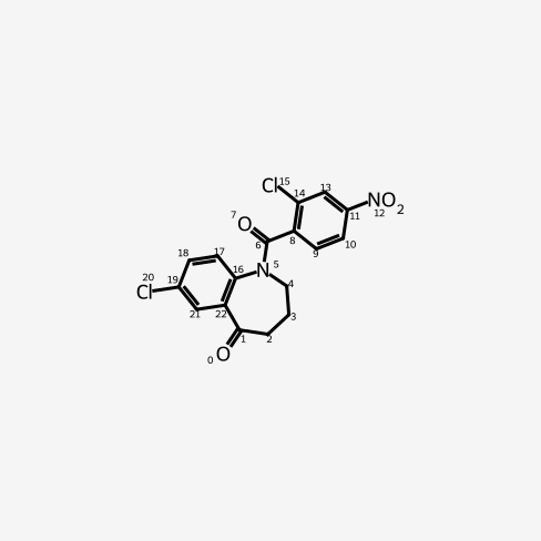 O=C1CCCN(C(=O)c2ccc([N+](=O)[O-])cc2Cl)c2ccc(Cl)cc21